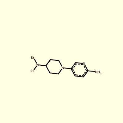 CCN(CC)C1CCN(c2ccc(N)nc2)CC1